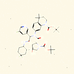 CC(C)(C)OC(=O)N1CCC(C)(C)c2ccc(N(C(=O)[C@H]3C[C@@](C)(O)CN3C(=O)OC(C)(C)C)C(C(=O)NC3CCC(F)(F)CC3)c3cncc(F)c3)cc21